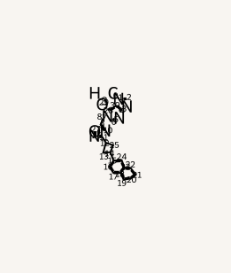 Cn1cnc2ncn(Cc3nc(C4CC(c5ccc6ccccc6c5)C4)no3)c(=O)c21